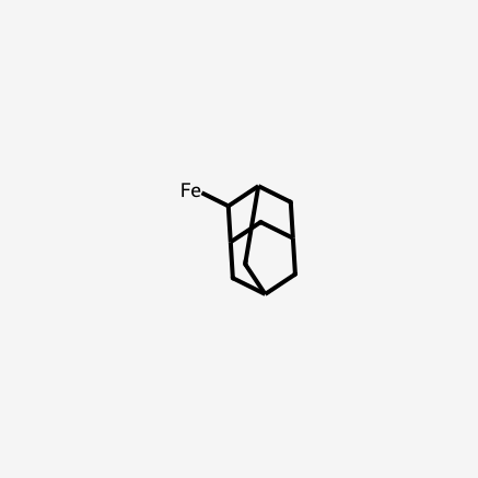 [Fe][CH]1C2CC3CC(C2)CC1C3